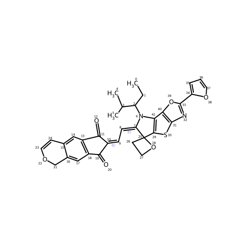 CCC(C(C)C)N1/C(=C/C=C2\C(=O)c3cc4c(cc3C2=O)COC=C4)C2(CCO2)c2sc3nc(-c4ccco4)oc3c21